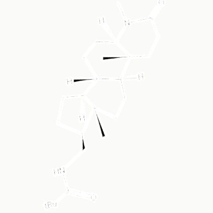 CN1C(=O)CC[C@]2(C)[C@H]3CC[C@]4(C)[C@@H](CNC(=O)C(C)(C)C)CC[C@H]4[C@@H]3CC[C@@H]12